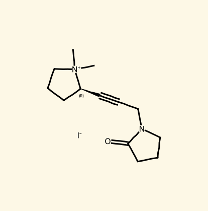 C[N+]1(C)CCC[C@@H]1C#CCN1CCCC1=O.[I-]